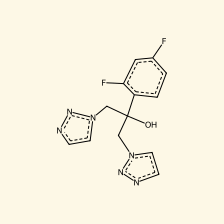 OC(Cn1ccnn1)(Cn1ccnn1)c1ccc(F)cc1F